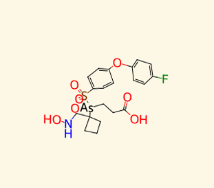 O=C(O)CC[As](C1(C(=O)NO)CCC1)S(=O)(=O)c1ccc(Oc2ccc(F)cc2)cc1